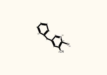 N#Cc1cc(Cc2ccccc2)cnc1Br